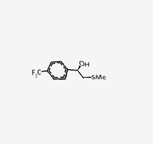 CSC[C@H](O)c1ccc(C(F)(F)F)cc1